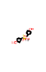 O=[SH](O)(Cc1ccc(O)cc1)OCc1ccc(O)cc1.[H+]